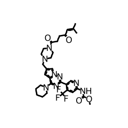 COC(=O)Nc1cc(C(F)(F)F)c(-c2nc(N3CCCCC3)c3cc(CN4CCN(C(=O)CCC(=O)C=C(C)C)CC4)cn3n2)cn1